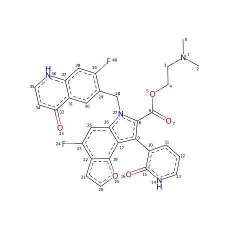 CN(C)CCOC(=O)c1c(-c2ccc[nH]c2=O)c2c3occc3c(F)cc2n1Cc1cc2c(=O)cc[nH]c2cc1F